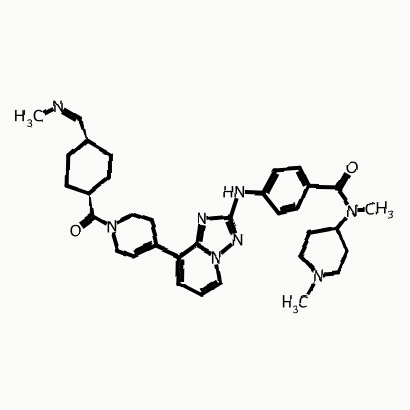 C/N=C\[C@H]1CC[C@@H](C(=O)N2CC=C(c3cccn4nc(Nc5ccc(C(=O)N(C)C6CCN(C)CC6)cc5)nc34)CC2)CC1